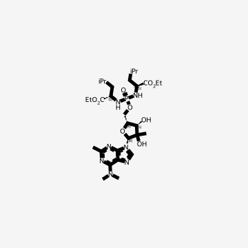 CCOC(=O)[C@H](CC(C)C)NP(=O)(N[C@@H](CC(C)C)C(=O)OCC)OC[C@H]1O[C@@H](n2cnc3c(N(C)C)nc(C)nc32)C(C)(O)[C@H]1O